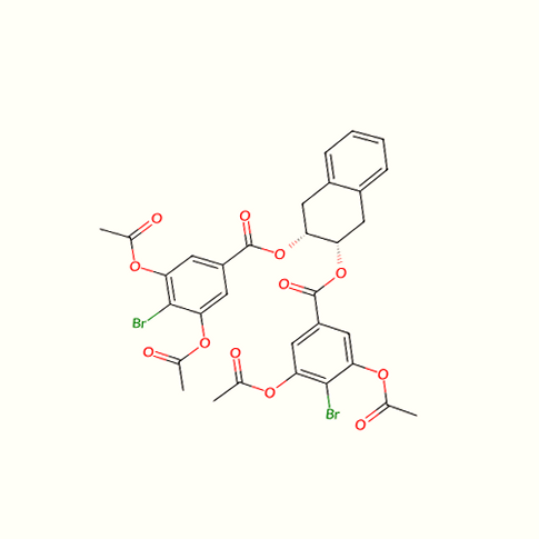 CC(=O)Oc1cc(C(=O)O[C@H]2Cc3ccccc3C[C@H]2OC(=O)c2cc(OC(C)=O)c(Br)c(OC(C)=O)c2)cc(OC(C)=O)c1Br